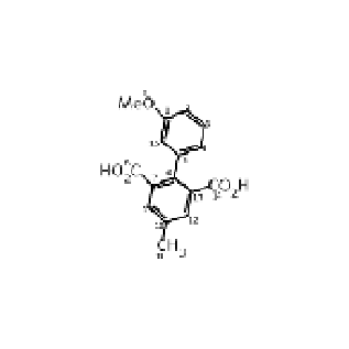 COc1cccc(-c2c(C(=O)O)cc(C)cc2C(=O)O)c1